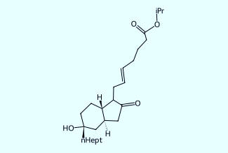 CCCCCCC[C@@]1(O)CC[C@@H]2C(CC=CCCCC(=O)OC(C)C)C(=O)C[C@H]2C1